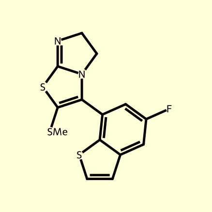 CSC1=C(c2cc(F)cc3ccsc23)N2CCN=C2S1